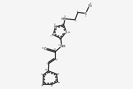 CCSCCNc1nnc(NC(=O)C=Cc2ccccc2)s1